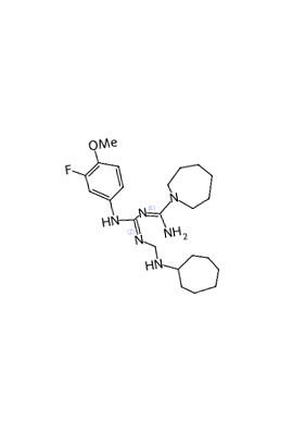 COc1ccc(NC(=N/CNC2CCCCCC2)/N=C(\N)N2CCCCCC2)cc1F